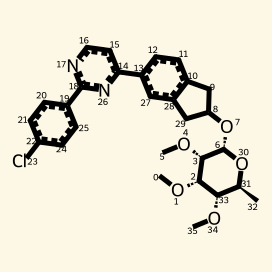 CO[C@@H]1[C@H](OC)[C@H](OC2Cc3ccc(-c4ccnc(-c5ccc(Cl)cc5)n4)cc3C2)O[C@@H](C)[C@@H]1OC